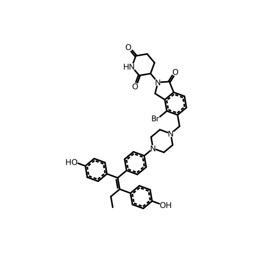 CCC(=C(c1ccc(O)cc1)c1ccc(N2CCN(Cc3ccc4c(c3Br)CN(C3CCC(=O)NC3=O)C4=O)CC2)cc1)c1ccc(O)cc1